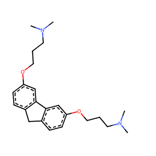 CN(C)CCCOc1ccc2c(c1)-c1cc(OCCCN(C)C)ccc1C2